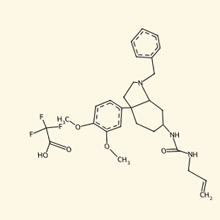 C=CCNC(=O)NC1CCC2(c3ccc(OC)c(OC)c3)CCN(Cc3ccccc3)C2C1.O=C(O)C(F)(F)F